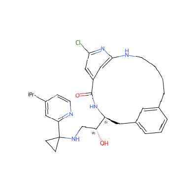 CC(C)c1ccnc(C2(NC[C@@H](O)[C@@H]3Cc4cccc(c4)CCCCNc4cc(cc(Cl)n4)C(=O)N3)CC2)c1